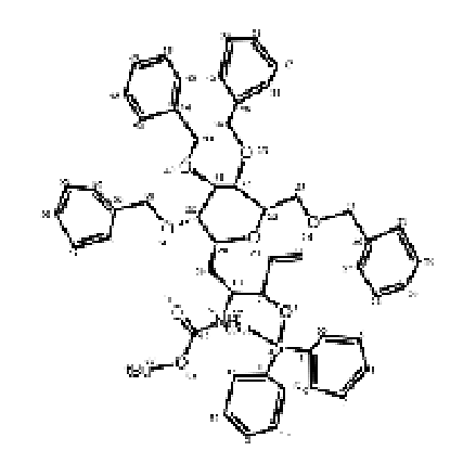 C=C[C@@H](O[Si](c1ccccc1)(c1ccccc1)C(C)(C)C)[C@H](C[C@@H]1O[C@H](COCc2ccccc2)[C@H](OCc2ccccc2)[C@H](OCc2ccccc2)[C@H]1OCc1ccccc1)NC(=O)OC(C)(C)C